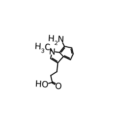 Cn1cc(CCC(=O)O)c2cccc(N)c21